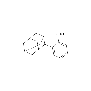 O=Cc1ccccc1C1C2CC3CC(C2)CC1C3